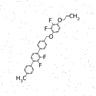 C=CCOc1ccc(OCc2ccc(-c3ccc(-c4ccc(C)cc4)c(F)c3F)cc2)c(F)c1F